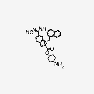 N/C(=N/O)c1ccc2cc(C(=O)OC3CCC(N)CC3)n(Cc3cccc4ccccc34)c2c1